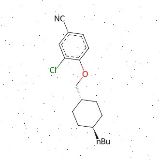 CCCC[C@H]1CC[C@H](COc2ccc(C#N)cc2Cl)CC1